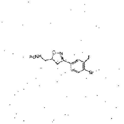 CC(=O)NCC1CC(c2ccc(Br)c(F)c2)=NO1